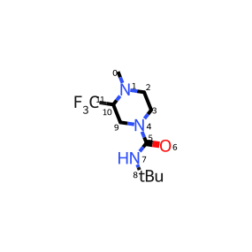 CN1CCN(C(=O)NC(C)(C)C)CC1C(F)(F)F